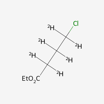 [2H]C([2H])(Cl)C([2H])([2H])C([2H])([2H])C(=O)OCC